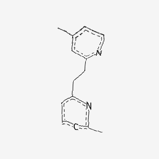 Cc1ccnc(CCc2cccc(C)n2)c1